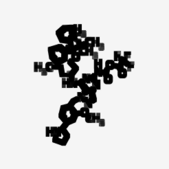 CCC[C@@H](CCO[Si](c1ccccc1)(c1ccccc1)C(C)(C)C)Nc1nc(NC(=O)OC(=O)C(F)(F)F)nc2cnn(Cc3ccc(C4CCCN4)cc3OC)c12